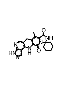 Cc1c2c(c(=O)n3c1C(=O)NC31CCCCC1)Nc1c(cnc3[nH]ncc13)C2